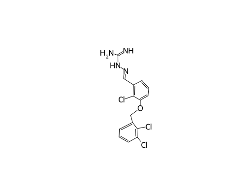 N=C(N)NN=Cc1cccc(OCc2cccc(Cl)c2Cl)c1Cl